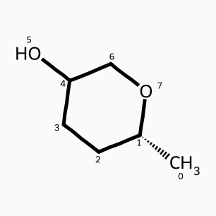 C[C@@H]1CCC(O)CO1